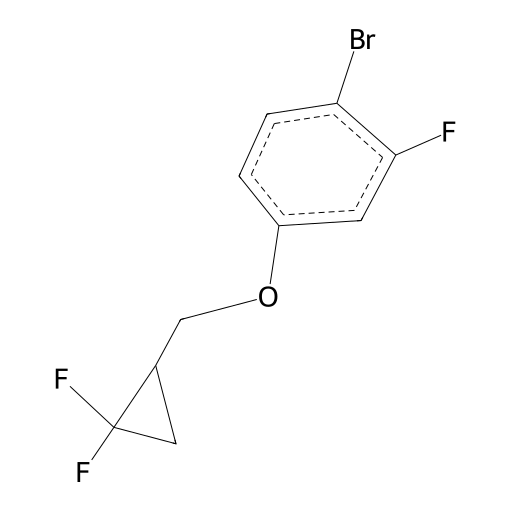 Fc1cc(OCC2CC2(F)F)ccc1Br